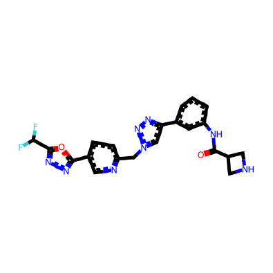 O=C(Nc1cccc(-c2cn(Cc3ccc(-c4nnc(C(F)F)o4)cn3)nn2)c1)C1CNC1